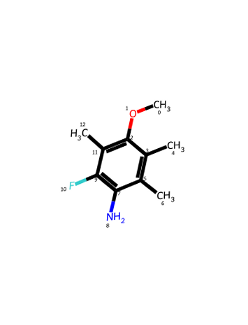 COc1c(C)c(C)c(N)c(F)c1C